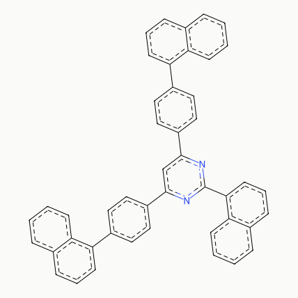 c1ccc2c(-c3ccc(-c4cc(-c5ccc(-c6cccc7ccccc67)cc5)nc(-c5cccc6ccccc56)n4)cc3)cccc2c1